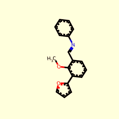 COc1c(/C=N/c2ccccc2)cccc1-c1ccco1